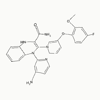 COc1cc(F)ccc1OC1=CN(C2=C(C(N)=O)Nc3ccccc3N2c2cc(N)ccn2)CC=C1